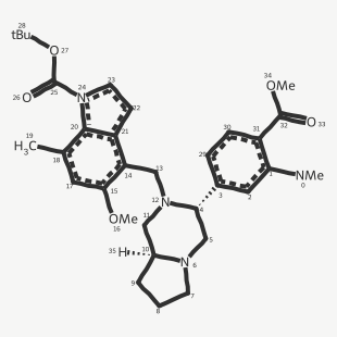 CNc1cc([C@@H]2CN3CCC[C@H]3CN2Cc2c(OC)cc(C)c3c2ccn3C(=O)OC(C)(C)C)ccc1C(=O)OC